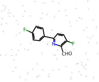 O=Cc1nc(-c2ccc(F)cc2)ccc1F